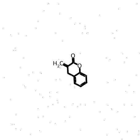 C=C1Cc2ccccc2OC1=O